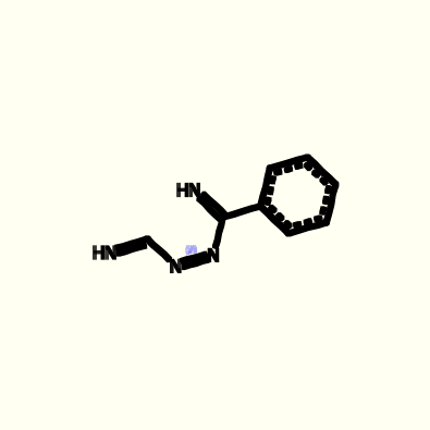 N=C/N=N\C(=N)c1ccccc1